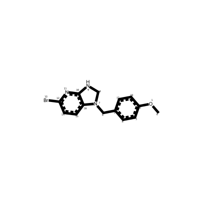 COc1ccc(CN2CNc3nc(Br)ccc32)cc1